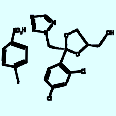 Cc1ccc(S(=O)(=O)O)cc1.OC[C@H]1CO[C@](Cn2cncn2)(c2ccc(Cl)cc2Cl)O1